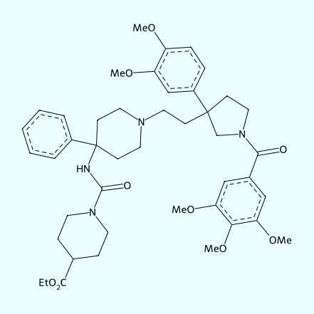 CCOC(=O)C1CCN(C(=O)NC2(c3ccccc3)CCN(CCC3(c4ccc(OC)c(OC)c4)CCN(C(=O)c4cc(OC)c(OC)c(OC)c4)C3)CC2)CC1